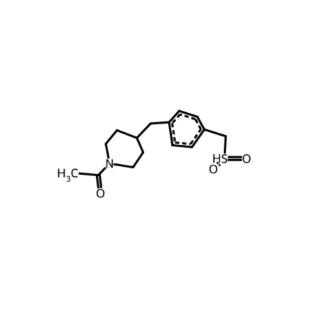 CC(=O)N1CCC(Cc2ccc(C[SH](=O)=O)cc2)CC1